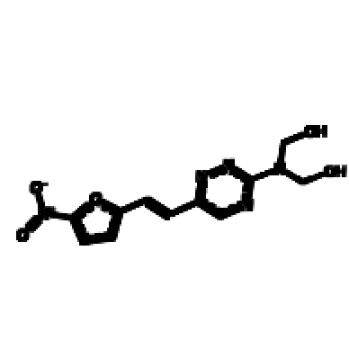 O=[N+]([O-])c1ccc(/C=C/c2cnc(N(CO)CO)nn2)o1